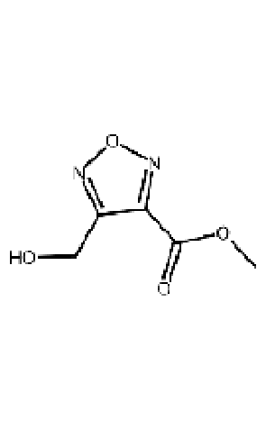 COC(=O)c1nonc1CO